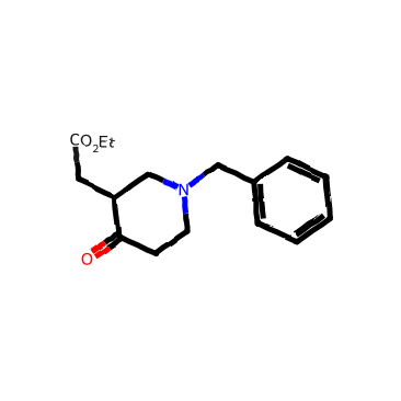 CCOC(=O)CC1CN(Cc2ccccc2)CCC1=O